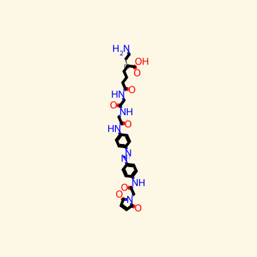 NCC[C@@H](CCCC(=O)NCC(=O)NCC(=O)Nc1ccc(/N=N/c2ccc(NC(=O)CN3C(=O)C=CC3=O)cc2)cc1)C(=O)O